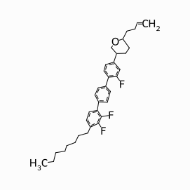 C=CCCC1CCC(c2ccc(-c3ccc(-c4ccc(CCCCCCCC)c(F)c4F)cc3)c(F)c2)CO1